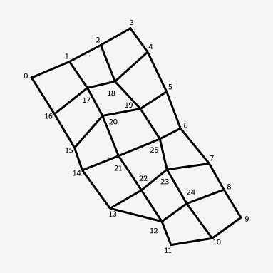 C1C2C3CC4C5C6C7C8CC9CC%10%11C%12C%13C%14C1C21C34C52C%141C%131C%12%10C7(C98%11)C621